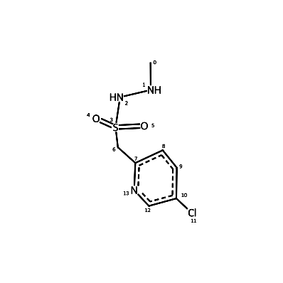 CNNS(=O)(=O)Cc1ccc(Cl)cn1